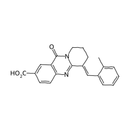 Cc1ccccc1C=C1CCCn2c1nc1ccc(C(=O)O)cc1c2=O